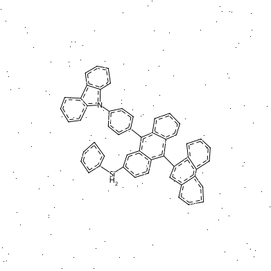 c1ccc([SiH2]c2ccc3c(-c4cc5ccccc5c5ccccc45)c4ccccc4c(-c4ccc(-n5c6ccccc6c6ccccc65)cc4)c3c2)cc1